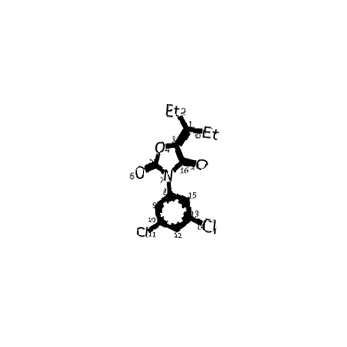 CCC(CC)=C1OC(=O)N(c2cc(Cl)cc(Cl)c2)C1=O